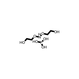 OCCONOCCO.OP(O)O